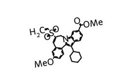 C=CS(=O)(=O)C1=Cc2cc(OC)ccc2-c2c(C3CCCCC3)c3ccc(C(=O)OC)cc3n2C1